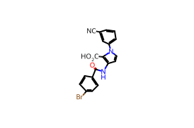 N#Cc1cccc(-n2ccc(NC(=O)c3ccc(Br)cc3)c2C(=O)O)c1